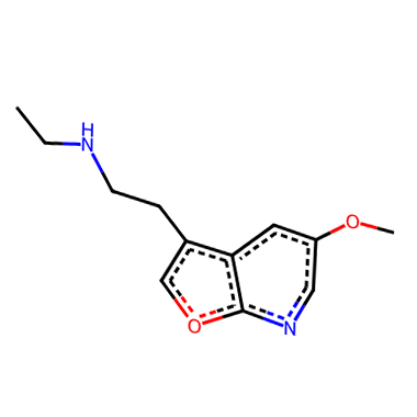 CCNCCc1coc2ncc(OC)cc12